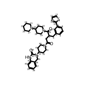 O=C(CC(Cc1cccc(-c2nccs2)c1)C(=O)N1CCC(N2CCCCC2)CC1)N1CCC(N2Cc3ccccc3NC2=O)CC1